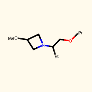 CCC(COC(C)C)N1CC(OC)C1